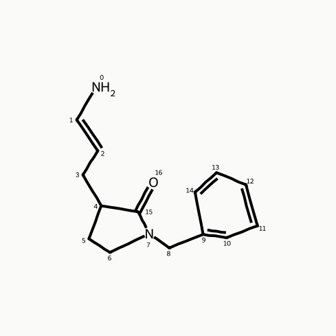 NC=CCC1CCN(Cc2ccccc2)C1=O